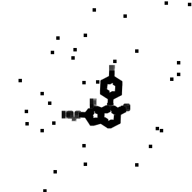 O=C(O)c1cc2ccc(=O)n(-c3ccc(F)cc3)c2[nH]1